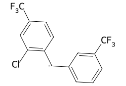 FC(F)(F)c1cccc([CH]c2ccc(C(F)(F)F)cc2Cl)c1